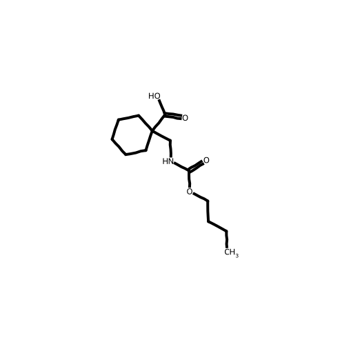 CCCCOC(=O)NCC1(C(=O)O)CCCCC1